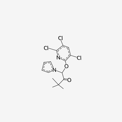 CC(C)(C)C(=O)C(Oc1nc(Cl)c(Cl)cc1Cl)n1cccc1